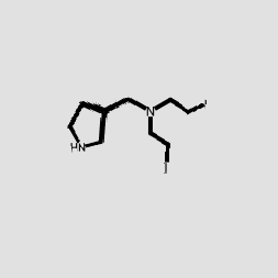 ICCN(CCI)CC1CCNC1